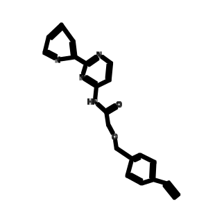 C#Cc1ccc(COCC(=O)Nc2ccnc(-c3ccccn3)n2)cc1